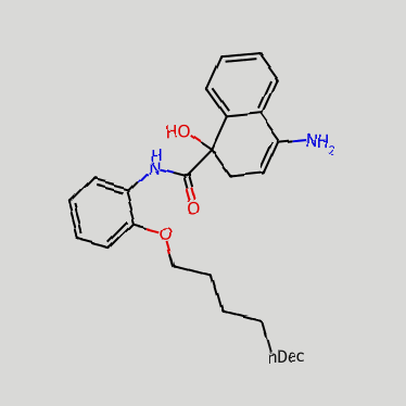 CCCCCCCCCCCCCCOc1ccccc1NC(=O)C1(O)CC=C(N)c2ccccc21